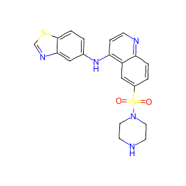 O=S(=O)(c1ccc2nccc(Nc3ccc4scnc4c3)c2c1)N1CCNCC1